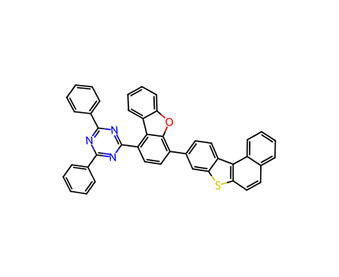 c1ccc(-c2nc(-c3ccccc3)nc(-c3ccc(-c4ccc5c(c4)sc4ccc6ccccc6c45)c4oc5ccccc5c34)n2)cc1